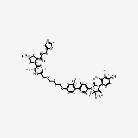 CC(C)(C)[C@H](NC(=O)COCCCCOc1ccc(-c2ncc(N3C(=S)N(c4ccc(C#N)c(C(F)(F)F)c4F)C(=O)C3(C)C)cc2F)c(C(F)(F)F)c1)C(=O)N1C[C@H](O)C[C@H]1C(=O)NCc1cnco1